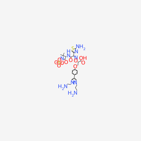 CC1(C)[C@H](NC(=O)/C(=N\OC(COc2ccc(-c3cn(CCCN)[n+](CCN)c3)cc2)C(=O)O)c2csc(N)n2)C(=O)N1OS(=O)(=O)[O-]